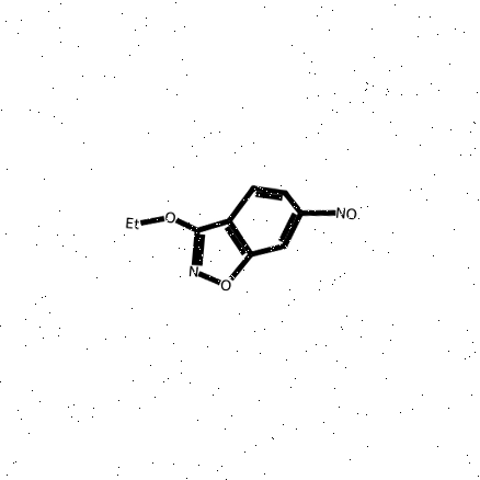 CCOc1noc2cc(N=O)ccc12